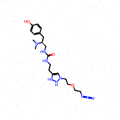 CN(C)[C@H](CNC(=O)NCCC1=CN(CCOCCN=[N+]=[N-])NN1)Cc1ccc(O)cc1